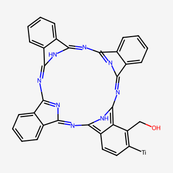 OCc1[c]([Ti])ccc2c3nc4nc(nc5[nH]c(nc6nc(nc([nH]3)c12)-c1ccccc1-6)c1ccccc51)-c1ccccc1-4